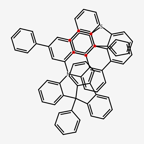 c1ccc(-c2cc(-c3ccccc3)cc(N(c3ccccc3C3(c4ccccc4)c4ccccc4-c4ccccc43)c3cccc(-c4ccccc4-c4ccccc4)c3-c3cccc4sc5ccccc5c34)c2)cc1